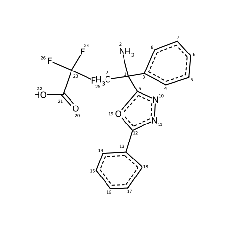 CC(N)(c1ccccc1)c1nnc(-c2ccccc2)o1.O=C(O)C(F)(F)F